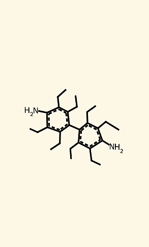 CCc1c(N)c(CC)c(CC)c(-c2c(CC)c(CC)c(N)c(CC)c2CC)c1CC